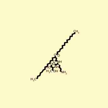 CCCCCCCCCCCCCCCC(=O)OC(CCCCCCCCCCCCCCC)CC(=O)N[C@@H](CCCCN)C(=O)N[C@H](C(=O)O)C(C)O